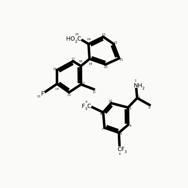 CC(N)c1cc(C(F)(F)F)cc(C(F)(F)F)c1.Cc1cc(F)ccc1-c1ccccc1C(=O)O